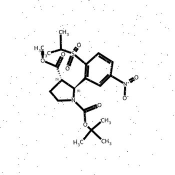 COC(=O)[C@H]1CCN(C(=O)OC(C)(C)C)[C@@H]1c1cc([N+](=O)[O-])ccc1S(=O)(=O)C(C)C